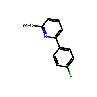 COc1cccc(-c2ccc(F)cc2)n1